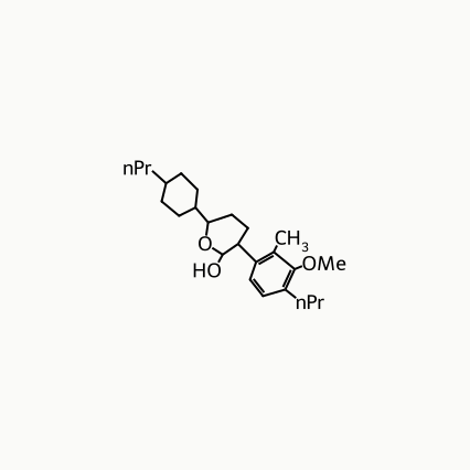 CCCc1ccc(C2CCC(C3CCC(CCC)CC3)OC2O)c(C)c1OC